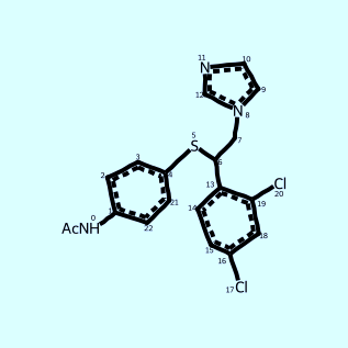 CC(=O)Nc1ccc(SC(Cn2ccnc2)c2ccc(Cl)cc2Cl)cc1